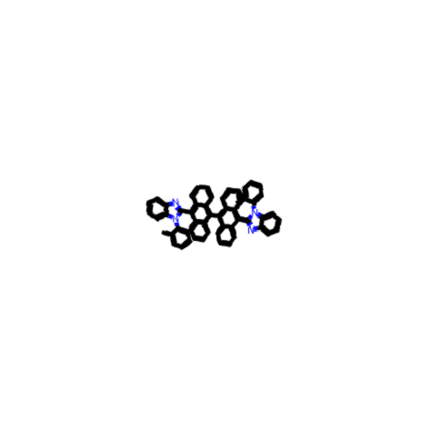 Cc1ccccc1-n1c(-c2c3ccccc3c(-c3c4ccccc4c(-c4nc5ccccc5n4-c4ccccc4C)c4ccccc34)c3ccccc23)nc2ccccc21